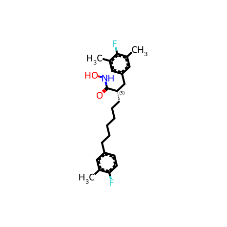 Cc1cc(CCCCCC[C@@H](Cc2cc(C)c(F)c(C)c2)C(=O)NO)ccc1F